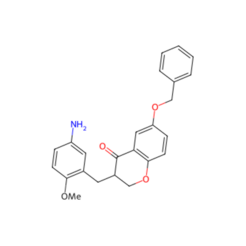 COc1ccc(N)cc1CC1COc2ccc(OCc3ccccc3)cc2C1=O